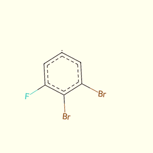 Fc1c[c]cc(Br)c1Br